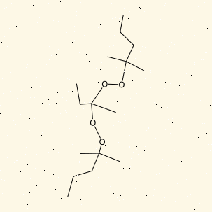 CCCC(C)(C)OOC(C)(CC)OOC(C)(C)CCC